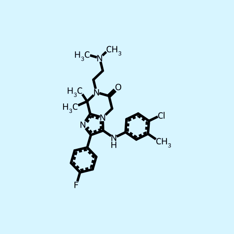 Cc1cc(Nc2c(-c3ccc(F)cc3)nc3n2CC(=O)N(CCN(C)C)C3(C)C)ccc1Cl